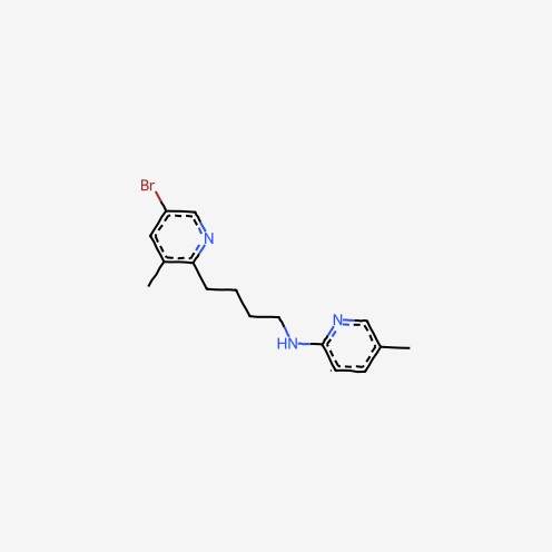 Cc1c[c]c(NCCCCc2ncc(Br)cc2C)nc1